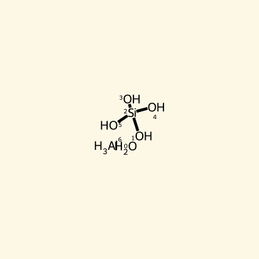 O.O[Si](O)(O)O.[AlH3]